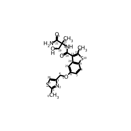 Cc1nc(COc2ccc3sc(C)c(C(=O)NC(C)(CO)C(N)=O)c3c2)cs1